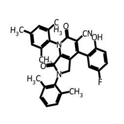 Cc1cc(C)c(-n2c3c(c(-c4cc(F)ccc4O)c(C#N)c2=O)CN(c2c(C)cccc2C)C3=O)c(C)c1